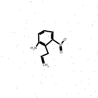 C=CCc1c(N)cccc1[N+](=O)[O-]